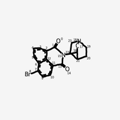 O=C1c2cccc3c(Br)ccc(c23)C(=O)N1C1CN2CCC1CC2